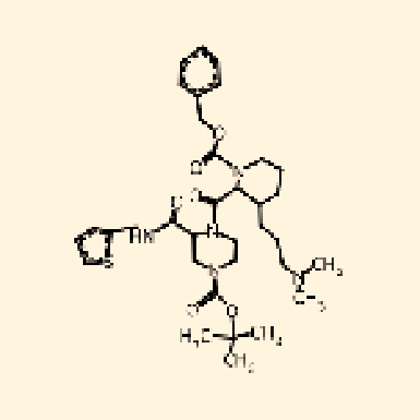 CN(C)CCCC1CCCN(C(=O)OCc2ccccc2)C1C(=O)N1CCN(C(=O)OC(C)(C)C)CC1C(=O)NCc1cccs1